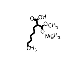 CCCCCCC(C(=O)O)C(=O)OC.[MgH2]